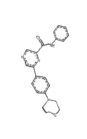 O=C(Nc1ccccc1)c1cncc(-c2ccc(N3CCOCC3)cc2)n1